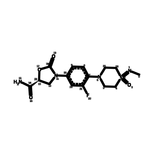 CN=S1(=O)CCN(c2ccc(N3C[C@H](C(N)=O)OC3=O)cc2F)CC1